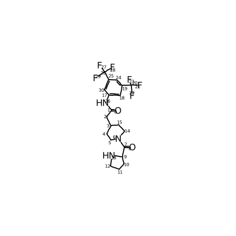 O=C(CC1CCN(C(=O)C2CCCN2)CC1)Nc1cc(C(F)(F)F)cc(C(F)(F)F)c1